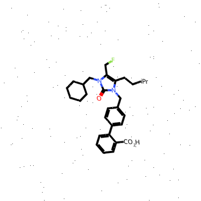 CC(C)CCc1c(CF)n(CC2CCCCC2)c(=O)n1Cc1ccc(-c2ccccc2C(=O)O)cc1